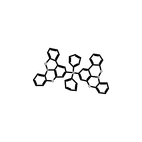 c1ccc([Si](c2ccccc2)(c2cc3c4c(c2)-c2ccccc2OB4c2ccccc2O3)c2cc3c4c(c2)-c2ccccc2ON4c2ccccc2O3)cc1